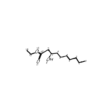 CCCCCCC[C@@H](O)CC(=O)OCC